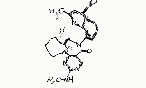 CNc1ncc2c(n1)N1CCC[C@H]1CN(c1cccn3c(=O)cc(C)nc13)C2=O